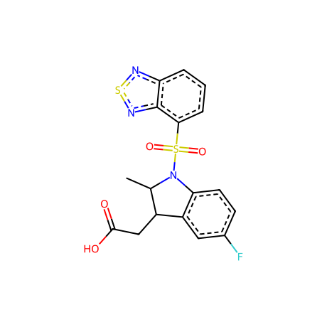 CC1C(CC(=O)O)c2cc(F)ccc2N1S(=O)(=O)c1cccc2nsnc12